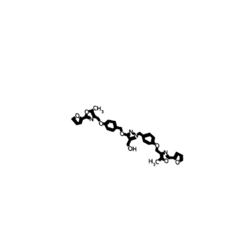 Cc1oc(-c2ccco2)nc1COc1ccc(COc2nn(Cc3ccc(OCc4nc(-c5ccco5)oc4C)cc3)cc2CO)cc1